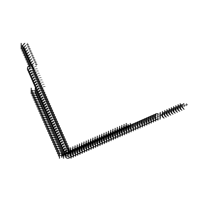 Cl.Cl.Cl.Cl.Cl.Cl.Cl.Cl.Cl.Cl.Cl.Cl.Cl.Cl.Cl.Cl.Cl.Cl.Cl.Cl.Cl.Cl.Cl.Cl.Cl.Cl.Cl.Cl.Cl.Cl.Cl.Cl.Cl.Cl.Cl.Cl.Cl.Cl.Cl.Cl.Cl.Cl.Cl.Cl.Cl.Cl.Cl.Cl.Cl.Cl.Cl.Cl.Cl.Cl.Cl.Cl.Cl.Cl.Cl.Cl.[Cl-].[Cl-].[Cl-].[Cl-].[Cl-].[Cl-].[Cl-].[Cl-].[Cl-].[Cl-].[Cl-].[Cl-].[Cl-].[Cl-].[Cl-].[Cl-].[Cl-].[Cl-].[Cl-].[Cl-].[K+].[K+].[K+].[K+].[K+].[K+].[K+].[K+].[K+].[K+].[K+].[K+].[K+].[K+].[K+].[K+].[K+].[K+].[K+].[K+]